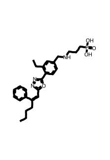 CCCCC(=Cc1nnc(-c2ccc(CNCCCP(=O)(O)O)cc2CC)o1)c1ccccc1